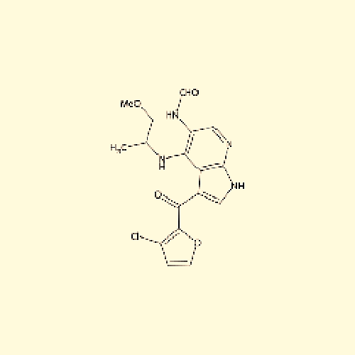 COCC(C)Nc1c(NC=O)cnc2[nH]cc(C(=O)c3occc3Cl)c12